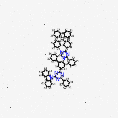 c1ccc(-c2nc(-c3cccc([Si](c4ccccc4)(c4ccccc4)c4ccccc4)c3)nc(-c3ccccc3-c3cccc(-c4nc(-c5ccccc5)nc(-n5c6ccccc6c6ccccc65)n4)c3)n2)cc1